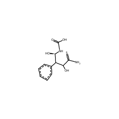 NC(=S)C(O)C(c1ccccc1)[C@@H](O)NC(=O)O